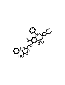 CCCCC1(CCCC)CN(c2ccccc2)c2cc(SC)c(OCC(=O)N[C@@H](C(=O)O)c3ccccc3)cc2S(=O)(=O)C1